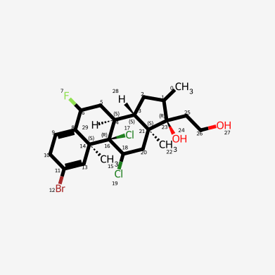 CC1C[C@H]2[C@@H]3CC(F)C4=CCC(Br)=C[C@]4(C)[C@@]3(Cl)C(Cl)C[C@]2(C)[C@@]1(O)CCO